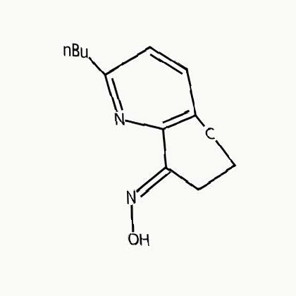 CCCCc1ccc2c(n1)C(=NO)CCC2